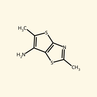 Cc1nc2sc(C)c(N)c2s1